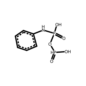 O=[PH](O)OP(=O)(O)Nc1ccccc1